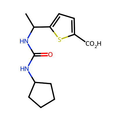 CC(NC(=O)NC1CCCC1)c1ccc(C(=O)O)s1